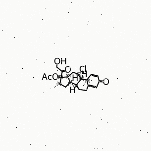 CC(=O)O[C@]1(C(=O)CO)[C@@H](C)C[C@H]2[C@@H]3CCC4=CC(=O)C=C[C@]4(C)[C@H]3[C@@H](Cl)C[C@@]21C